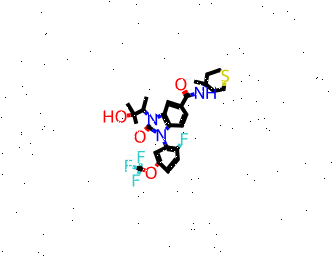 CC(n1c(=O)n(-c2cc(OC(F)(F)F)ccc2F)c2ccc(C(=O)NC3(C)CCSCC3)cc21)C(C)(C)O